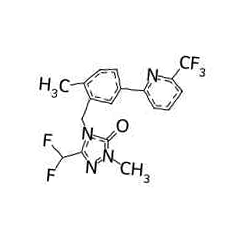 Cc1ccc(-c2cccc(C(F)(F)F)n2)cc1Cn1c(C(F)F)nn(C)c1=O